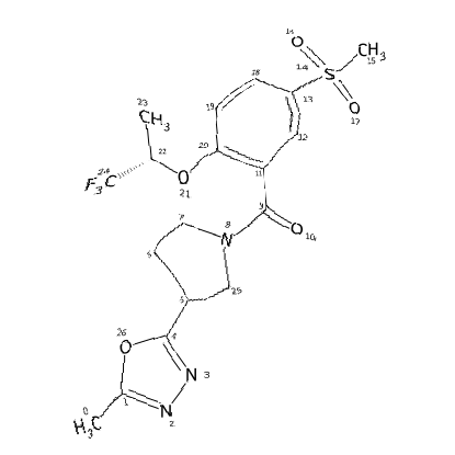 Cc1nnc(C2CCN(C(=O)c3cc(S(C)(=O)=O)ccc3O[C@@H](C)C(F)(F)F)C2)o1